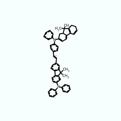 CC1(C)c2cc(/C=C/c3ccc(N(C4=CC=C5C6=C(CCC=C6)C(C)(C)C5C4)c4ccccc4)cc3)ccc2-c2ccc(N(c3ccccc3)c3ccccc3)cc21